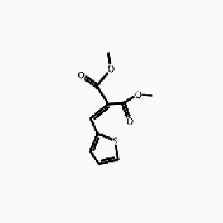 COC(=O)C(=Cc1cccs1)C(=O)OC